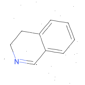 [C]1=NCCc2ccccc21